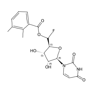 Cc1cccc(C(=O)OC(F)[C@H]2O[C@@H](n3ccc(=O)[nH]c3=O)[C@H](O)[C@@H]2O)c1C